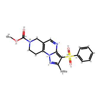 CNc1nn2c3c(cnc2c1S(=O)(=O)c1ccccc1)CN(C(=O)OC(C)(C)C)CC3